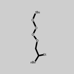 CCCCC(CC)COOOOC(C)(C)C